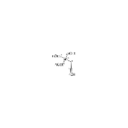 C#C[CH2][Sn]([CH2]CCCCCCC)([CH2]CCCCCCC)[CH2]CCCCCCC